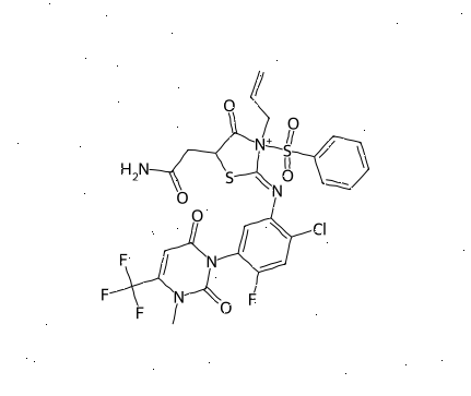 C=CC[N+]1(S(=O)(=O)c2ccccc2)C(=O)C(CC(N)=O)SC1=Nc1cc(-n2c(=O)cc(C(F)(F)F)n(C)c2=O)c(F)cc1Cl